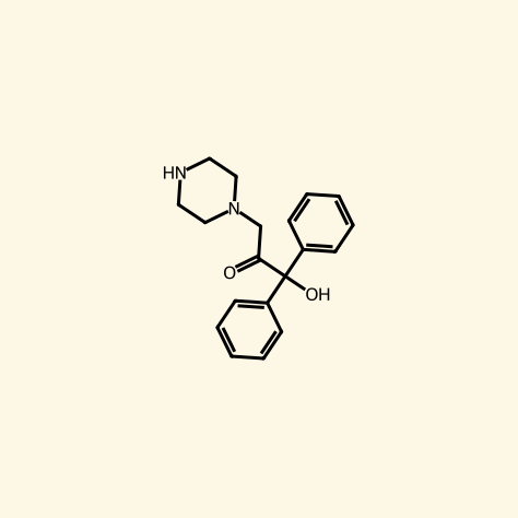 O=C(CN1CCNCC1)C(O)(c1ccccc1)c1ccccc1